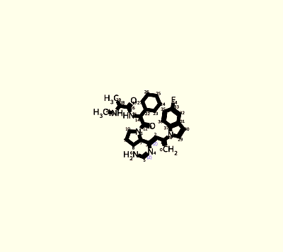 C=C(/C=C(\N=C/N)C1CCCN1C(=O)C(NC(=O)C(C)NC)C1CCCCC1)n1ccc2cc(F)ccc21